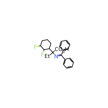 CCC(N=C(c1ccccc1)c1ccccc1)(C(=O)O)C1CCCC(F)C1F